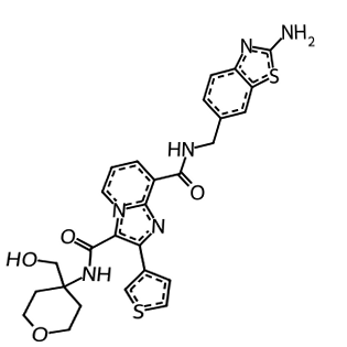 Nc1nc2ccc(CNC(=O)c3cccn4c(C(=O)NC5(CO)CCOCC5)c(-c5ccsc5)nc34)cc2s1